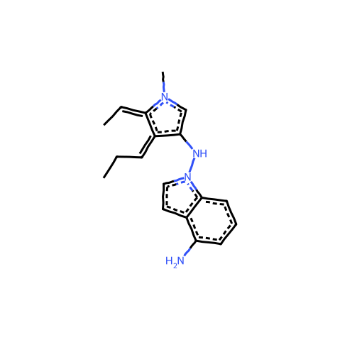 C/C=c1\c(=C/CC)c(Nn2ccc3c(N)cccc32)cn1C